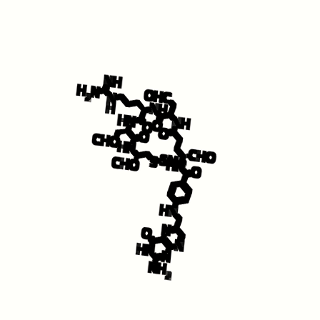 CSSC[C@@H](C=O)NC(=O)[C@@H](CC=O)NC(=O)[C@@H](CCCNC(=N)N)NC(=O)C(CC=O)NC(=O)CC[C@H](C=O)NC(=O)c1ccc(NCc2cnc3nc(N)[nH]c(=O)c3n2)cc1